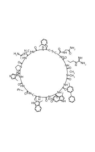 CC(C)C[C@@H]1NC(=O)[C@H](Cc2cnc[nH]2)NC(=O)[C@@H]2CCCN2C(=O)[C@H](CC(N)=O)NC(=O)[C@H](C)NC(=O)[C@H](Cc2ccccc2)NC(=O)CSC[C@@H](C(=O)NCC(N)=O)NC(=O)[C@H](CCCNC(=N)N)NC(=O)[C@H](C)N(C)C(=O)[C@H](Cc2ccc(-c3ccccc3)cc2)NC(=O)[C@H](Cc2c[nH]c3ccccc23)NC(=O)[C@H](CO)NC(=O)[C@H](Cc2c[nH]c3ccccc23)NC(=O)CNC1=O